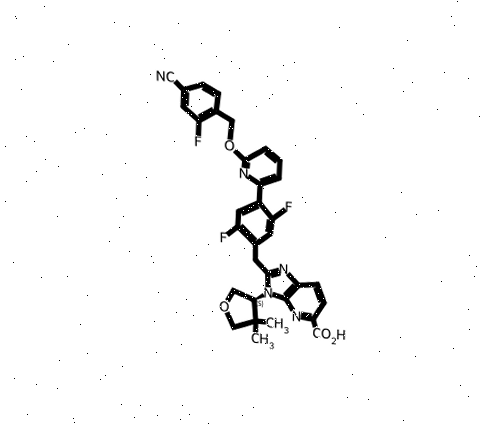 CC1(C)COC[C@H]1n1c(Cc2cc(F)c(-c3cccc(OCc4ccc(C#N)cc4F)n3)cc2F)nc2ccc(C(=O)O)nc21